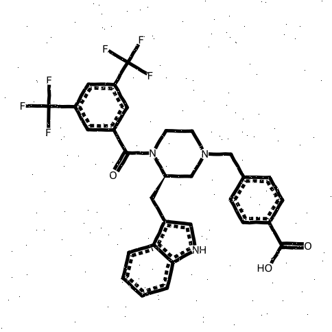 O=C(O)c1ccc(CN2CCN(C(=O)c3cc(C(F)(F)F)cc(C(F)(F)F)c3)[C@H](Cc3c[nH]c4ccccc34)C2)cc1